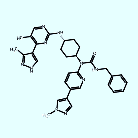 Cc1n[nH]cc1-c1nc(N[C@H]2CC[C@H](N(C(=O)NCc3ccccc3)c3ccc(-c4cnn(C)c4)cn3)CC2)ncc1C#N